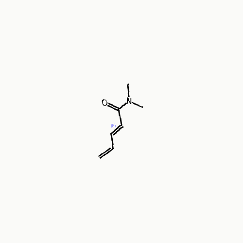 C=C/C=C/C(=O)N(C)C